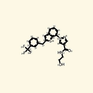 O=C(NCCO)c1cnn(-c2cccc3cc(Cc4cccc(C(F)(F)F)c4)sc23)c1